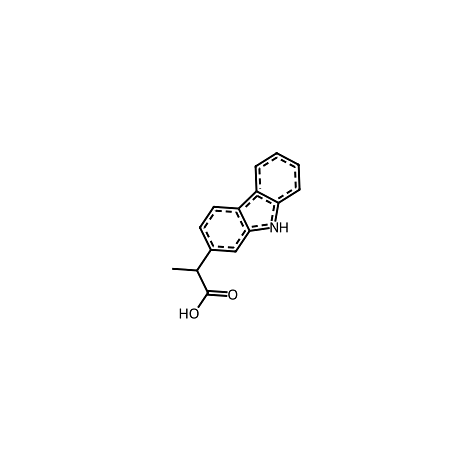 CC(C(=O)O)c1ccc2c(c1)[nH]c1ccccc12